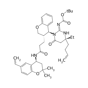 C=CCC[C@]1(CC)CC(=O)N([C@@H]2c3ccccc3OC[C@H]2CCC(=O)N[C@H]2CC(C)(C)Oc3ccc(C=C)cc32)/C(=N/C(=O)OC(C)(C)C)N1